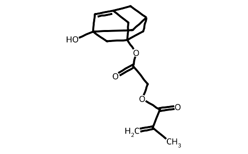 C=C(C)C(=O)OCC(=O)OC12CC3=CC(O)(CC(C3)C1)C2